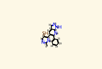 Cc1ncc(S)c(-c2cc3cn[nH]c3nc2-c2ccccc2)n1